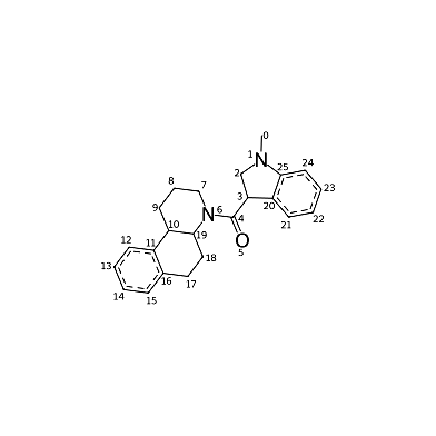 CN1CC(C(=O)N2CCCC3c4ccccc4CCC32)c2ccccc21